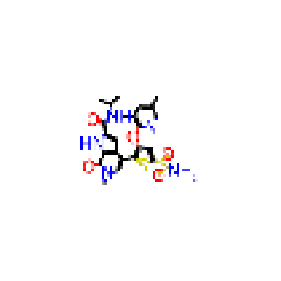 Cc1cnc(Oc2cc(S(N)(=O)=O)sc2-c2cn(C)c(=O)c3[nH]c(C(=O)NC(C)C)cc23)c(C)c1